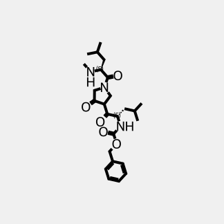 CN[C@@H](CC(C)C)C(=O)N1CC(=O)C(C(=O)[C@H](CC(C)C)NC(=O)OCc2ccccc2)C1